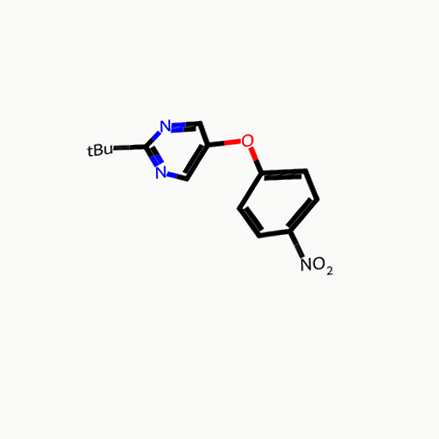 CC(C)(C)c1ncc(Oc2ccc([N+](=O)[O-])cc2)cn1